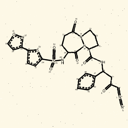 [N-]=[N+]=CC(=O)CC(NC(=O)[C@@H]1CCCN2C(=O)CCC(NS(=O)(=O)c3ccc(-c4ccon4)s3)C(=O)N12)c1ccccc1